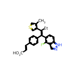 CC/C(=C(/c1ccc(/C=C/C(=O)O)cc1)c1ccc2[nH]ncc2c1F)c1cscc1C